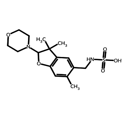 Cc1cc2c(cc1CNS(=O)(=O)O)C(C)(C)C(N1CCOCC1)O2